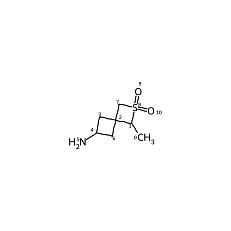 CC1C2(CC(N)C2)CS1(=O)=O